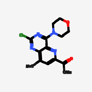 COC(=O)c1cc(SC)c2nc(Cl)nc(N3CCOCC3)c2n1